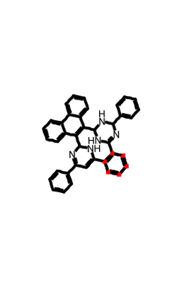 C1=C(c2ccccc2)NC(c2c(C3NC(c4ccccc4)=NC(c4ccccc4)N3)c3ccccc3c3ccccc23)N=C1c1ccccc1